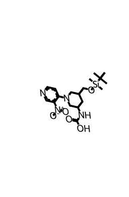 CC(C)(C)[Si](C)(C)OCC1CC(NC(=O)O)CN(c2ccncc2[N+](=O)[O-])C1